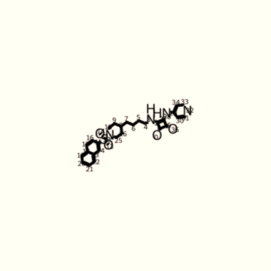 O=c1c(NCCCCC2CCN(S(=O)(=O)c3ccc4ccccc4c3)CC2)c(Nc2ccncc2)c1=O